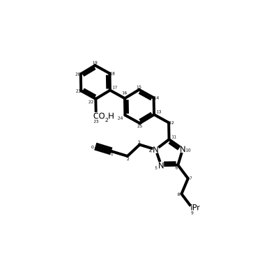 C#CCCn1nc(CCC(C)C)nc1Cc1ccc(-c2ccccc2C(=O)O)cc1